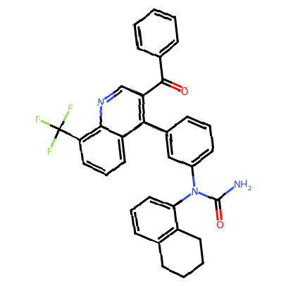 NC(=O)N(c1cccc(-c2c(C(=O)c3ccccc3)cnc3c(C(F)(F)F)cccc23)c1)c1cccc2c1CCCC2